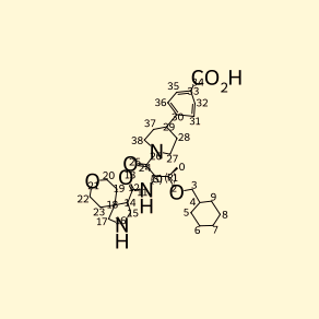 C[C@@H](OCC1CCCCC1)[C@H](NC(=O)C1CNCC12CCOCC2)C(=O)N1CCC(c2ccc(C(=O)O)cc2)CC1